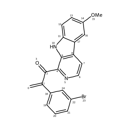 C=C(C(=O)c1nccc2c1[nH]c1ccc(OC)cc12)c1cccc(Br)c1